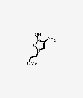 COCCN1C=C(N)N(O)O1